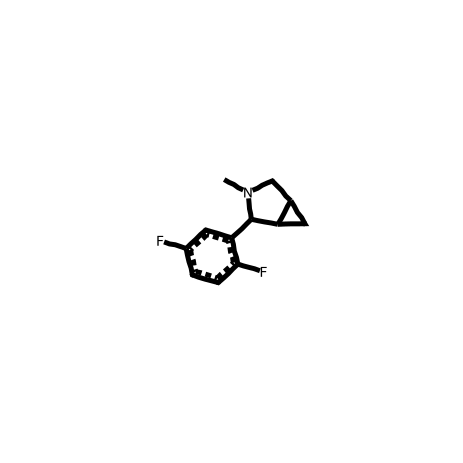 CN1CC2CC2C1c1cc(F)ccc1F